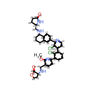 COc1nc(-c2cccc(-c3ccnc(-c4ccc5c(c4)CCC[C@@H]5NC[C@H]4CCC(=O)N4)c3Cl)c2Cl)ccc1CN[C@H]1CCOC1=O